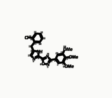 COc1cc(-c2noc(-c3ncc(Cc4ccccc4Cl)[nH]3)n2)cc(OC)c1OC